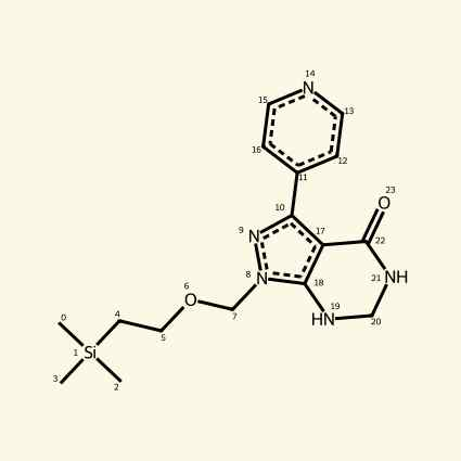 C[Si](C)(C)CCOCn1nc(-c2ccncc2)c2c1NCNC2=O